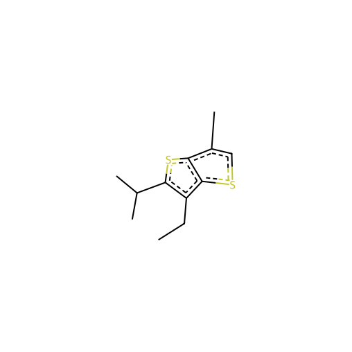 CCc1c(C(C)C)sc2c(C)csc12